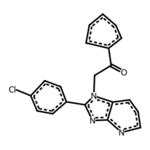 O=C(Cn1c(-c2ccc(Cl)cc2)nc2ncccc21)c1ccccc1